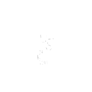 CC(=O)Nc1cccc(C/N=C2/OB2C2BO2)c1